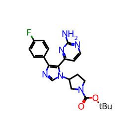 CC(C)(C)OC(=O)N1CCC(n2cnc(-c3ccc(F)cc3)c2-c2ccnc(N)n2)C1